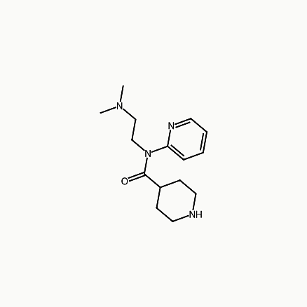 CN(C)CCN(C(=O)C1CCNCC1)c1ccccn1